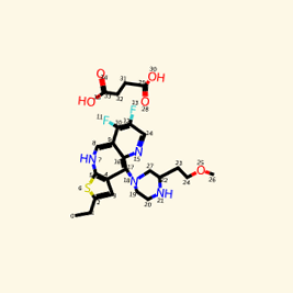 CCc1cc2c(s1)NC=c1c(F)c(F)cnc1=C2N1CCNC(CCOC)C1.O=C(O)CCC(=O)O